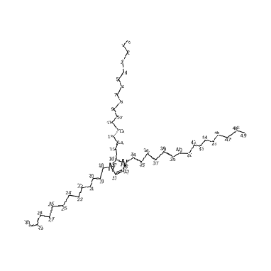 CCCCCCCCCCCCCCCCC1N(CCCCCCCCCCCCC)C=CN1CCCCCCCCCCCCCCCC